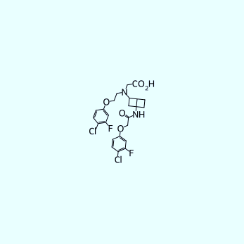 O=C(O)CN(CCOc1ccc(Cl)c(F)c1)C1CC2(NC(=O)COc3ccc(Cl)c(F)c3)CCC12